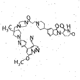 CCOc1cc(-c2ccc(N3CCC(CC)(CN4CCN(C(=O)CCN5CCC(c6ccc7c(c6)C(=O)N(C6CCC(=O)NC6=O)C7)CC5)CC4)CC3)nc2)c2c(C#N)cnn2c1